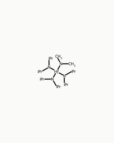 CC(C)[N](C(C)C)[Hf]([N](C)C)([N](C(C)C)C(C)C)[N](C(C)C)C(C)C